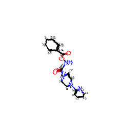 O=C(ONC(=O)N1CCN(c2ccccn2)CC1)C1CCCCC1